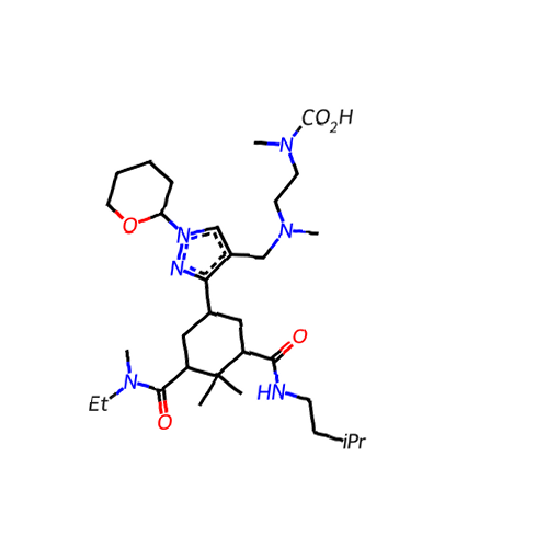 CCN(C)C(=O)C1CC(c2nn(C3CCCCO3)cc2CN(C)CCN(C)C(=O)O)CC(C(=O)NCCC(C)C)C1(C)C